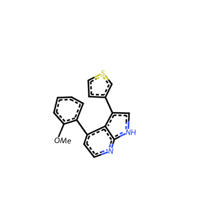 COc1ccccc1-c1ccnc2[nH]cc(-c3ccsc3)c12